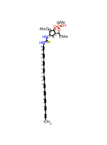 CC#CC#CC#CC#CC#CC#CC#CC#CC#CC#CNC(=S)N[C@H]1C[C@H](COC)C(OP(=O)(O)OC)[C@@H]1OC